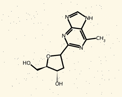 Cc1nc(C2C[C@H](O)[C@@H](CO)O2)nc2nc[nH]c12